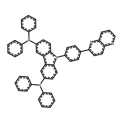 c1ccc(N(c2ccccc2)c2ccc3c(c2)c2cc(N(c4ccccc4)c4ccccc4)ccc2n3-c2ccc(-c3ccc4ncccc4n3)cc2)cc1